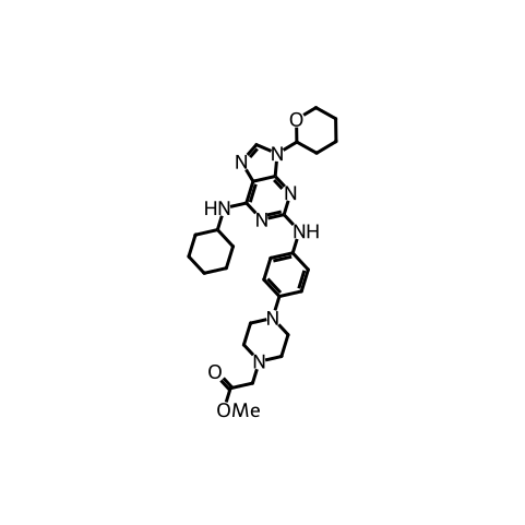 COC(=O)CN1CCN(c2ccc(Nc3nc(NC4CCCCC4)c4ncn(C5CCCCO5)c4n3)cc2)CC1